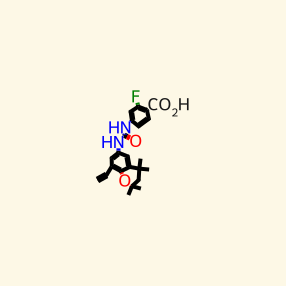 C#Cc1cc(NC(=O)Nc2ccc(C(=O)O)c(F)c2)cc2c1OC(C)(C)CC2(C)C